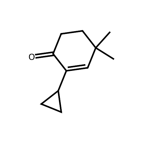 CC1(C)C=C(C2CC2)C(=O)CC1